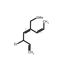 C=CC(/C=C(\C=C/C)CSC)CC